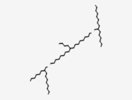 CCCCCCCCC(CCCCCC)COC(=O)CCCCCCCC(CCCCO)CCCCCCCC(=O)OCC(CCCCCC)CCCCCCCC